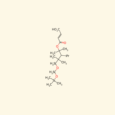 CC(C)C(C(C)(C)OC(=O)C=CC(=O)O)C(C)(C)[SiH2]O[SiH2]O[Si](C)(C)C